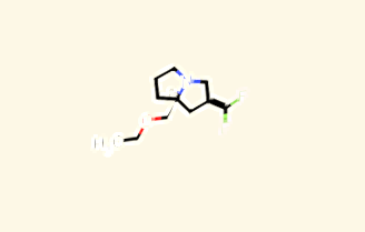 CCOC[C@@]12CCCN1CC(=C(F)F)C2